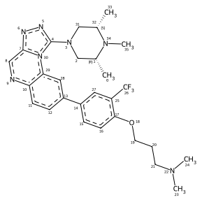 C[C@@H]1CN(c2nnc3cnc4ccc(-c5ccc(OCCCN(C)C)c(C(F)(F)F)c5)cc4n23)C[C@H](C)N1C